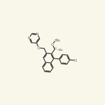 CC(=O)[C@@H](OC(C)(C)C)c1c(COc2cncnc2)cc2ccccc2c1-c1ccc(Cl)cc1